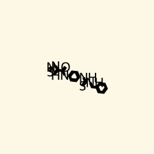 O=C(Nc1ccc(NC(=S)NCc2ccccc2)cc1)c1csnn1